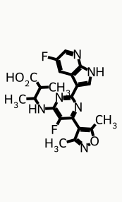 Cc1noc(C)c1-c1nc(-c2c[nH]c3ncc(F)cc23)nc(NC(C)C(C)C(=O)O)c1F